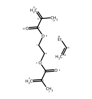 C=C(C)C(=O)OCCOC(=O)C(=C)C.C=CCC